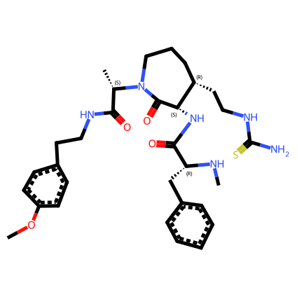 CN[C@H](Cc1ccccc1)C(=O)N[C@@H]1C(=O)N([C@@H](C)C(=O)NCCc2ccc(OC)cc2)CCC[C@@H]1CCNC(N)=S